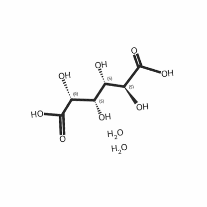 O.O.O=C(O)[C@@H](O)[C@@H](O)[C@H](O)[C@@H](O)C(=O)O